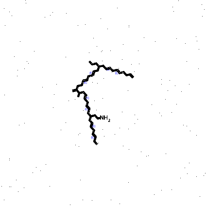 C=CCC/C=C/C/C=C/CC(C/C=C/C/C=C/CCC(=C)C(C)C/C=C/C/C=C/CC(C/C=C/C/C=C/CC)CCN)CCC